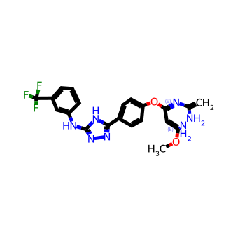 C=C(N)/N=C(\C=C(/N)OC)Oc1ccc(-c2nnc(Nc3cccc(C(F)(F)F)c3)[nH]2)cc1